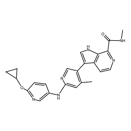 CNC(=O)c1nccc2c(-c3cnc(Nc4ccc(OC5CC5)nc4)cc3C)c[nH]c12